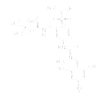 Cc1cc(Br)cc(C)c1CN(C)C(=O)Nc1ccc(S(=O)(=O)C(C)C)c(CNC(=O)OC(C)(C)C)c1